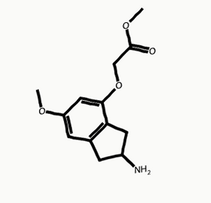 COC(=O)COc1cc(OC)cc2c1CC(N)C2